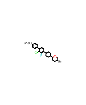 CCC1CCC(C2CC=C(c3ccc(-c4ccc(OC)cc4)c(Cl)c3F)CC2)OC1